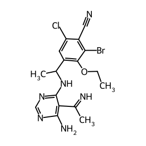 CCOc1c(C(C)Nc2ncnc(N)c2C(C)=N)cc(Cl)c(C#N)c1Br